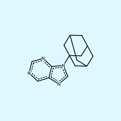 c1ncc2ncn(C34CC5CC(CC(C5)C3)C4)c2n1